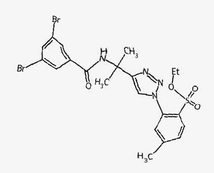 CCOS(=O)(=O)c1ccc(C)cc1-n1cc(C(C)(C)NC(=O)c2cc(Br)cc(Br)c2)nn1